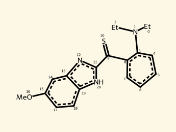 CCN(CC)c1ccccc1C(=S)c1nc2cc(OC)ccc2[nH]1